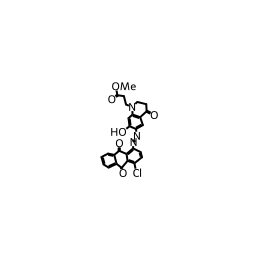 COC(=O)CCN1CCC(=O)c2cc(/N=N/c3ccc(Cl)c4c3C(=O)c3ccccc3C4=O)c(O)cc21